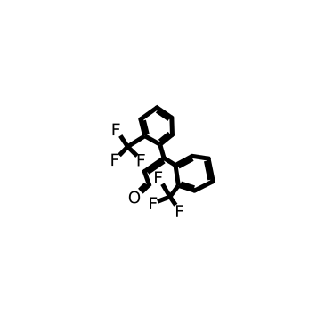 O=CC=C(c1ccccc1C(F)(F)F)c1ccccc1C(F)(F)F